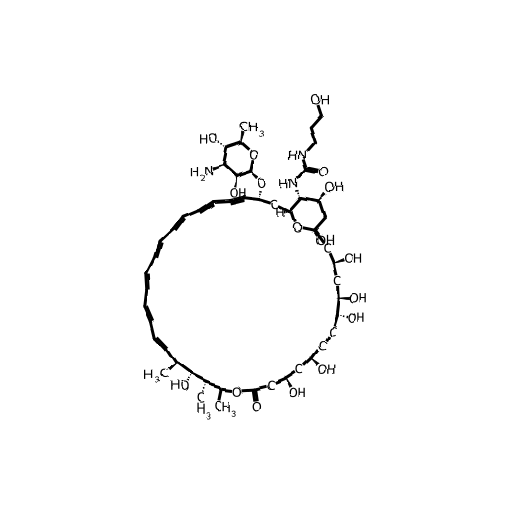 CC1OC(=O)C[C@H](O)C[C@H](O)CC[C@@H](O)[C@H](O)C[C@H](O)C[C@]2(O)C[C@H](O)[C@@H](NC(=O)NCCCO)[C@H](C[C@@H](O[C@@H]3O[C@H](C)[C@@H](O)[C@H](N)[C@@H]3O)/C=C/C=C/C=C/C=C/C=C/C=C/C=C/[C@H](C)[C@@H](O)[C@H]1C)O2